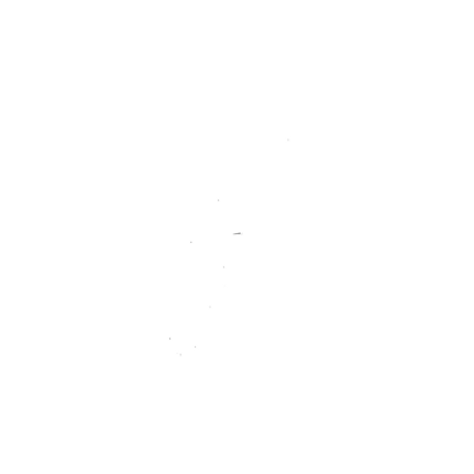 O=C(/C=C/c1cc(Cl)cc(Cl)c1)N1CC[C@@H]2CN(C(=O)c3ccc4[nH]nnc4c3)C[C@H]2C1